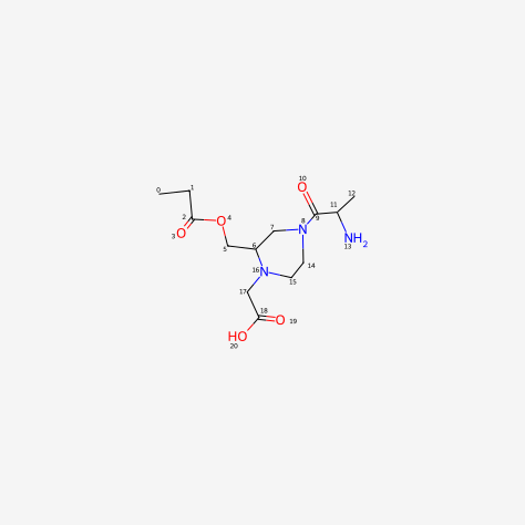 CCC(=O)OCC1CN(C(=O)C(C)N)CCN1CC(=O)O